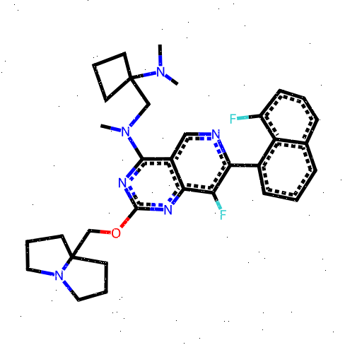 CN(CC1(N(C)C)CCC1)c1nc(OCC23CCCN2CCC3)nc2c(F)c(-c3cccc4cccc(F)c34)ncc12